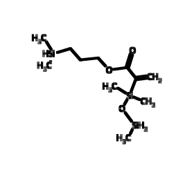 C=C(C(=O)OCCC[SiH](C)C)[Si](C)(C)O[SiH2]C